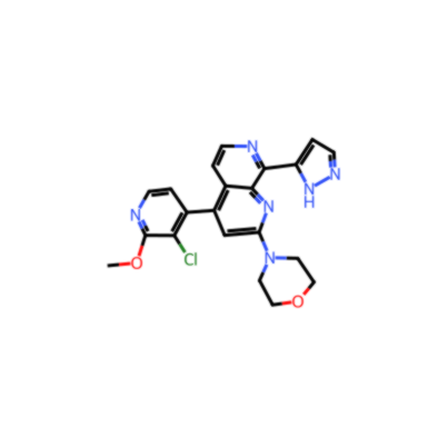 COc1nccc(-c2cc(N3CCOCC3)nc3c(-c4ccn[nH]4)nccc23)c1Cl